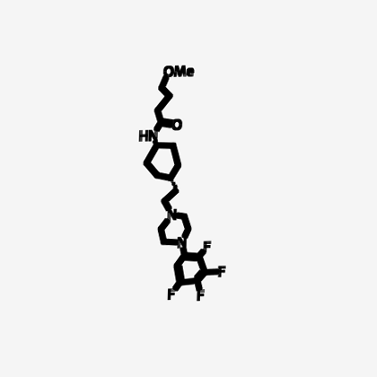 COCCCC(=O)N[C@H]1CC[C@H](CCN2CCN(c3cc(F)c(F)c(F)c3F)CC2)CC1